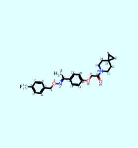 C/C(=N\OCc1ccc(C(F)(F)F)cc1)c1ccc(OCC(=O)N2CCC3(CC2)CC3)cc1